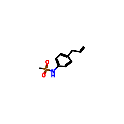 C=CCc1ccc(NS(C)(=O)=O)cc1